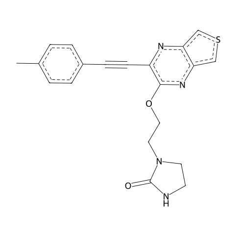 Cc1ccc(C#Cc2nc3cscc3nc2OCCN2CCNC2=O)cc1